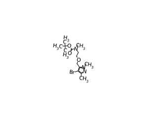 Cc1nn(C)c(COCCN(C)C(=O)OC(C)(C)C)c1Br